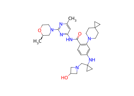 Cc1cc(NC(=O)c2ccc(NC3(CN4CC(O)C4)CC3)cc2N2CCC3(CC2)CC3)nc(N2CCO[C@H](C)C2)n1